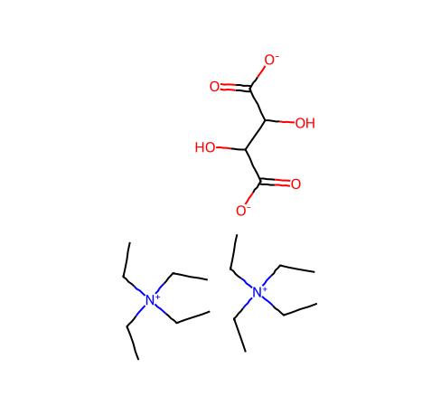 CC[N+](CC)(CC)CC.CC[N+](CC)(CC)CC.O=C([O-])C(O)C(O)C(=O)[O-]